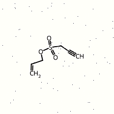 C#CCS(=O)(=O)OCC=C